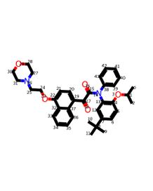 CC(C)Oc1ccc(C(C)(C)C)cc1N(C(=O)C(=O)c1ccc(OCCN2CCOCC2)c2ccccc12)c1ccccc1